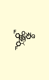 COc1ccc(NC(=O)c2cc(F)ccc2Nc2ccc(F)cc2C(C)C)c(C)n1